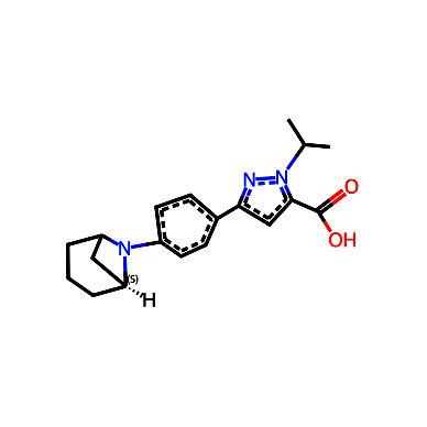 CC(C)n1nc(-c2ccc(N3C4CCC[C@H]3C4)cc2)cc1C(=O)O